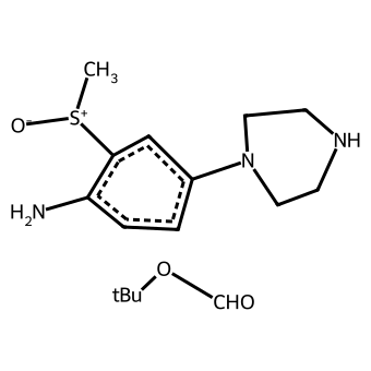 CC(C)(C)OC=O.C[S+]([O-])c1cc(N2CCNCC2)ccc1N